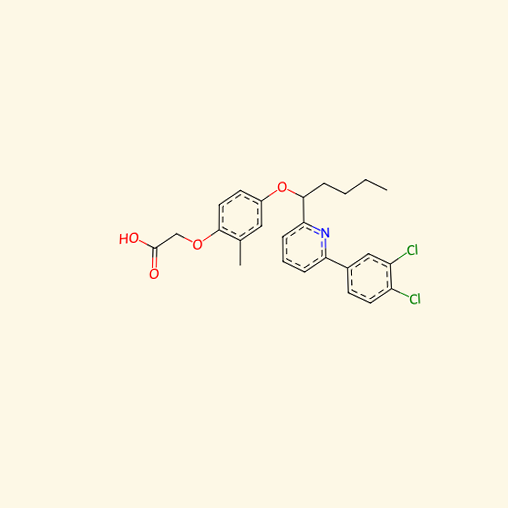 CCCCC(Oc1ccc(OCC(=O)O)c(C)c1)c1cccc(-c2ccc(Cl)c(Cl)c2)n1